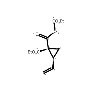 C=C[C@@H]1C[C@@]1(C(=O)OCC)C(=O)OC(=O)OCC